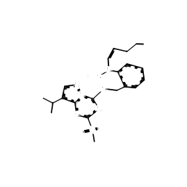 CCC/C=C\N(N)c1ccccc1CNc1nc(S(C)(=O)=O)nc2c(C(C)C)cnn12